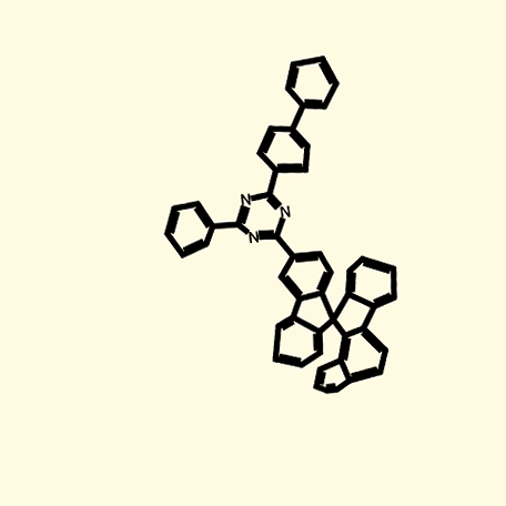 c1ccc(-c2ccc(-c3nc(-c4ccccc4)nc(-c4ccc5c(c4)-c4ccccc4C54c5ccccc5-c5ccc6ccccc6c54)n3)cc2)cc1